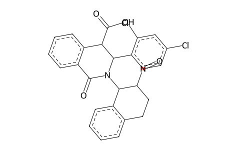 O=NC1CCc2ccccc2C1N1C(=O)c2ccccc2C(C(=O)O)C1c1ccc(Cl)cc1Cl